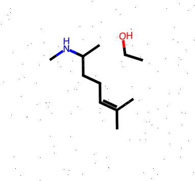 CCO.CNC(C)CCC=C(C)C